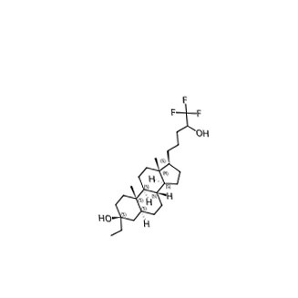 CC[C@]1(O)CC[C@@]2(C)[C@@H](CC[C@@H]3[C@@H]2CC[C@]2(C)[C@@H](CCCC(O)C(F)(F)F)CC[C@@H]32)C1